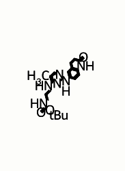 Cc1cnc(Nc2ccc3c(c2)CCC(=O)N3)nc1NCCCNC(=O)OC(C)(C)C